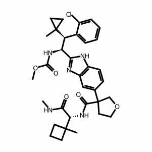 CNC(=O)[C@H](NC(=O)C1(c2ccc3[nH]c([C@@H](NC(=O)OC)[C@H](c4ccccc4Cl)C4(C)CC4)nc3c2)CCOC1)C1(C)CCC1